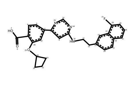 O=C(O)c1ccc(-c2cc(NCCc3ccc4cccc(F)c4c3)ncn2)cc1OC1CCC1